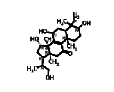 C[C@H](CO)[C@H]1C[C@H](O)[C@@]2(C)C3=C(C(=O)C[C@]12C)[C@@]1(C)CC[C@H](O)C(C)(C)C1C[C@@H]3O